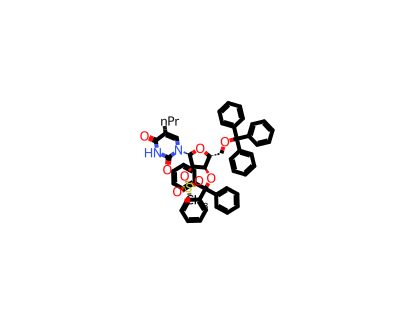 CCCc1cn([C@@H]2O[C@H](COC(c3ccccc3)(c3ccccc3)c3ccccc3)[C@@H](OC(c3ccccc3)(c3ccccc3)c3ccccc3)[C@H]2OS(C)(=O)=O)c(=O)[nH]c1=O